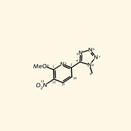 COc1nc(-c2nnnn2C)ccc1[N+](=O)[O-]